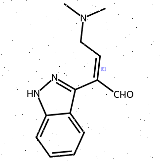 CN(C)C/C=C(/C=O)c1n[nH]c2ccccc12